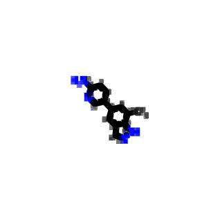 Nc1ccc(-c2cc(C(F)(F)F)c3[nH]ncc3c2)cn1